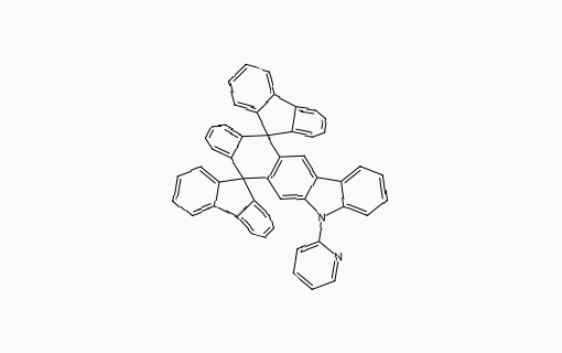 c1ccc(-n2c3ccccc3c3cc4c(cc32)C2(c3ccccc3-c3ccccc32)c2ccccc2C42c3ccccc3-c3ccccc32)nc1